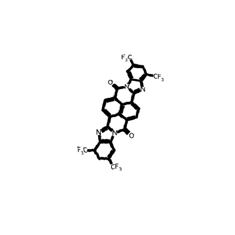 O=c1c2ccc3c4c(ccc(c24)c2nc4c(n12)C=C(C(F)(F)F)CC4C(F)(F)F)c(=O)n1c2cc(C(F)(F)F)cc(C(F)(F)F)c2nc31